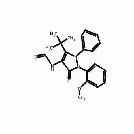 COc1ccccc1-n1c(=O)c(NC=O)c(C(C)(C)C)n1-c1ccccc1